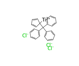 [Cl-].[Cl-].[Cl-].[Ti+3][C]1(C(c2ccccc2)(c2ccccc2)c2ccccc2)C=CC=C1